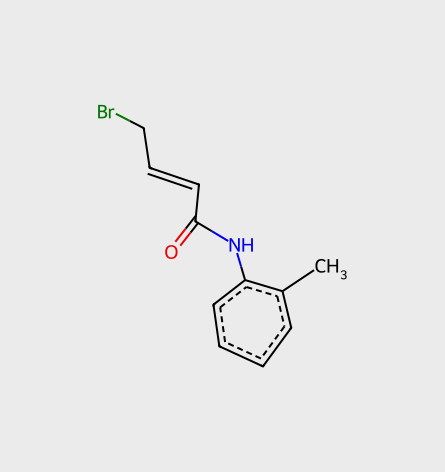 Cc1ccccc1NC(=O)C=CCBr